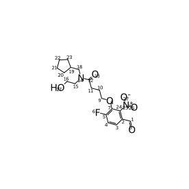 O=Cc1ccc(F)c(OCCCC(=O)N(CCO)CC2CCCC2)c1[N+](=O)[O-]